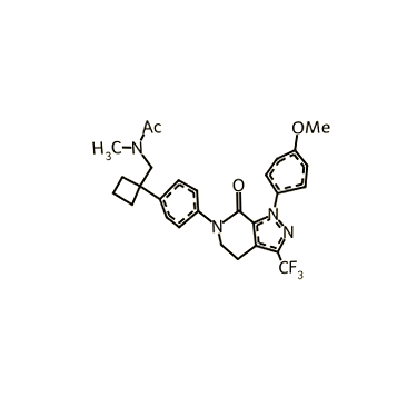 COc1ccc(-n2nc(C(F)(F)F)c3c2C(=O)N(c2ccc(C4(CN(C)C(C)=O)CCC4)cc2)CC3)cc1